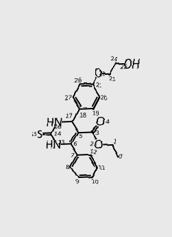 CCOC(=O)C1=C(c2ccccc2)NC(=S)NC1c1ccc(OCCO)cc1